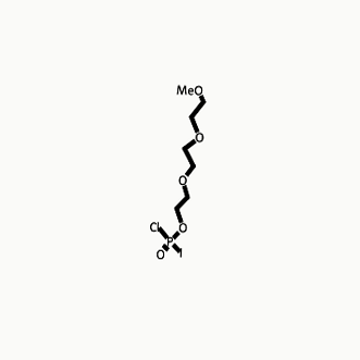 COCCOCCOCCOP(=O)(Cl)I